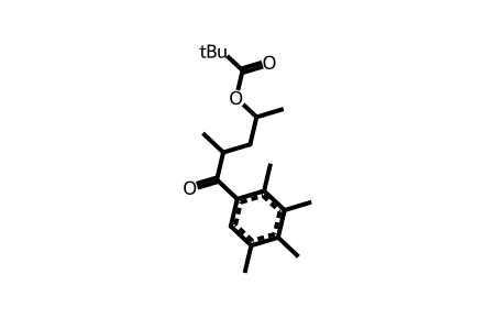 Cc1cc(C(=O)C(C)CC(C)OC(=O)C(C)(C)C)c(C)c(C)c1C